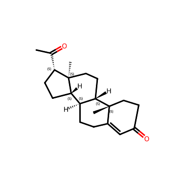 CC(=O)[C@H]1CC[C@H]2[C@@H]3CCC4=CC(=O)CC[C@@]4(C)[C@H]3CC[C@]12C